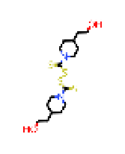 OCCC1CCN(C(=S)SSC(=S)N2CCC(CCO)CC2)CC1